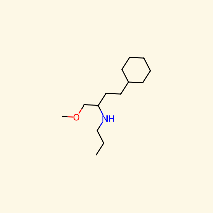 CCCNC(CCC1CCCCC1)COC